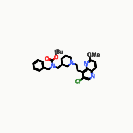 COc1ccc2ncc(Cl)c(CCN3CCCC(CN(Cc4ccccc4)C(=O)OC(C)(C)C)C3)c2n1